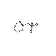 O=[SH](=O)Cc1[c]cccn1